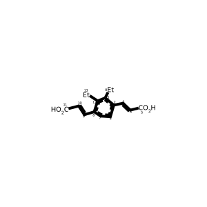 CCc1c(C=CC(=O)O)ccc(C=CC(=O)O)c1CC